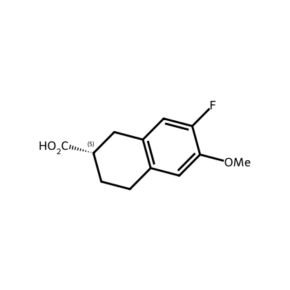 COc1cc2c(cc1F)C[C@@H](C(=O)O)CC2